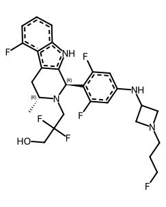 C[C@@H]1Cc2c([nH]c3cccc(F)c23)[C@@H](c2c(F)cc(NC3CN(CCCF)C3)cc2F)N1CC(F)(F)CO